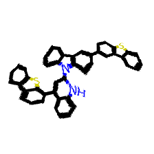 C1=Cc2sc3c(C4=CC(n5c6c(c7ccccc75)C=C(C5=Cc7c(sc8ccccc78)CC5)CC6)Nc5ccccc54)cccc3c2CC1